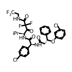 CC(C)[C@H](NC(=O)[C@@H](NC(=O)C[C@@H](Oc1cccc(Cl)c1)c1ccccc1)c1ccc(Cl)cc1)C(=O)C(F)(F)C(=O)NCC(F)(F)F